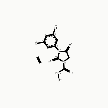 C=C.CC(C)NC(=O)N1CC(=O)N(c2cc(Cl)cc(Cl)c2)C1=O